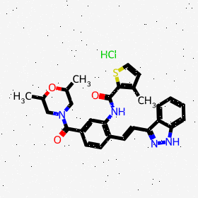 Cc1ccsc1C(=O)Nc1cc(C(=O)N2CC(C)OC(C)C2)ccc1/C=C/c1n[nH]c2ccccc12.Cl